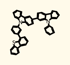 c1ccc(-n2c3ccccc3c3ccc(-c4ccc5c(c4)c4ccccc4n5-c4cccc(-c5cccc6c5sc5ccccc56)c4)cc32)cc1